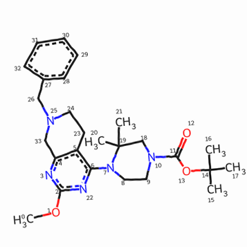 COc1nc2c(c(N3CCN(C(=O)OC(C)(C)C)CC3(C)C)n1)CCN(Cc1ccccc1)C2